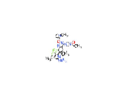 C=CC(=O)N1CCN(c2nc(OC[C@@H]3CCCN3C)nc3c2C[C@H](C)[C@@H](c2nc(N)cc(C)c2C(F)(F)F)C3)CC1